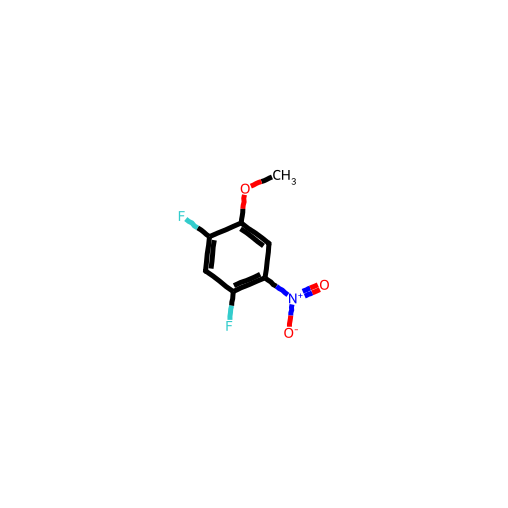 COc1cc([N+](=O)[O-])c(F)cc1F